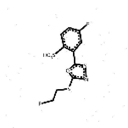 O=S(=O)(O)c1ccc(F)cc1-c1nnc(SCCF)o1